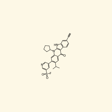 C#Cc1ccc2c(c1)[nH]c1c2c(=O)c2cc(C(C)C)c(-c3cncc(S(=O)(=O)F)c3)cc2n1C1CCCC1